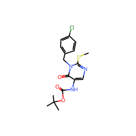 CSc1ncc(NC(=O)OC(C)(C)C)c(=O)n1Cc1ccc(Cl)cc1